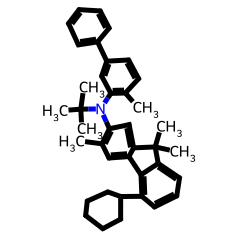 Cc1ccc(-c2ccccc2)cc1N(c1cc2c(cc1C)-c1c(C3CCCCC3)cccc1C2(C)C)C(C)(C)C